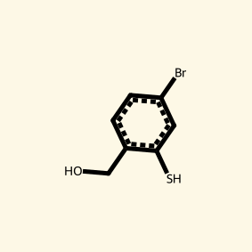 OCc1ccc(Br)cc1S